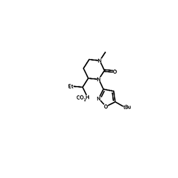 CCC(C(=O)O)C1CCN(C)C(=O)N1c1cc(C(C)(C)C)on1